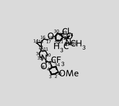 COc1cccc(C(C(=O)N2CCC(C3CC3CCOc3ccc(C(=O)N(C)C)c(Cl)c3)CC2)C(F)(F)F)c1